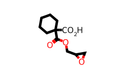 O=C(O)C1(C(=O)OCC2CO2)CCCCC1